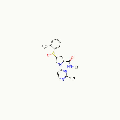 CCNC(=O)[C@@H]1C[C@H]([S+]([O-])c2ccccc2C(F)(F)F)CN1c1ccnc(C#N)n1